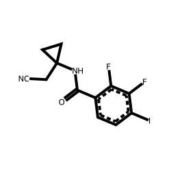 N#CCC1(NC(=O)c2ccc(I)c(F)c2F)CC1